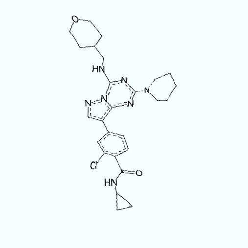 O=C(NC1CC1)c1ccc(-c2cnn3c(NCC4CCOCC4)nc(N4CCCCC4)nc23)cc1Cl